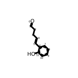 O=[C]CC/C=C/c1ccccc1O